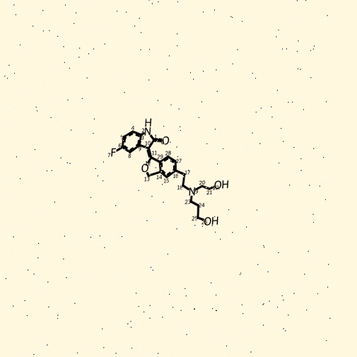 O=C1Nc2ccc(F)cc2C1=C1OCc2cc(CCN(CCO)CCCO)ccc21